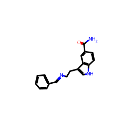 NC(=O)c1ccc2[nH]cc(CC/N=C/c3ccccc3)c2c1